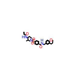 C=CC(=O)NC1CCN(S(=O)(=O)c2ccc(C(=O)NCc3ccc4c(c3)CCCO4)cc2)CC1C